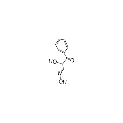 O=C(c1ccccc1)C(O)C=NO